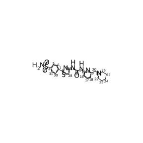 NS(=O)(=O)c1ccc(-c2nc(NC(=O)Nc3cccc(CN4CCCCC4)n3)cs2)cc1